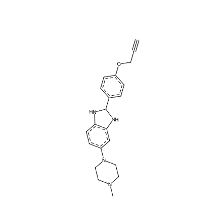 C#CCOc1ccc(C2Nc3ccc(N4CCN(C)CC4)cc3N2)cc1